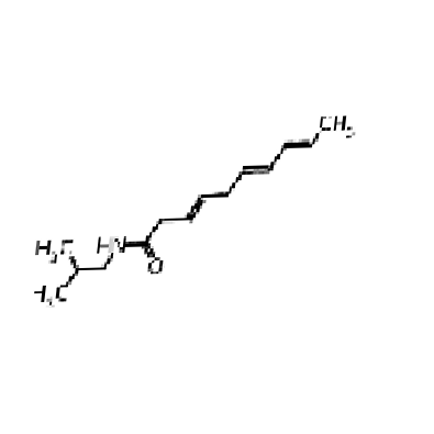 CC=CC=CCC=CCC(=O)NCC(C)C